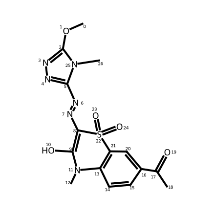 COc1nnc(N=NC2=C(O)N(C)c3ccc(C(C)=O)cc3S2(=O)=O)n1C